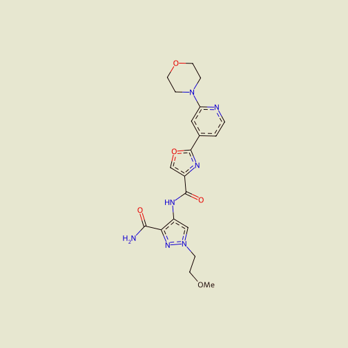 COCCn1cc(NC(=O)c2coc(-c3ccnc(N4CCOCC4)c3)n2)c(C(N)=O)n1